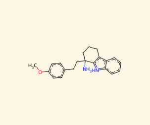 COc1ccc(CCC2(N)CCCc3c2[nH]c2ccccc32)cc1